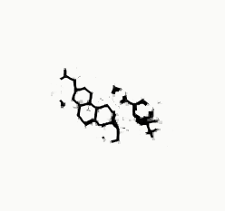 CC(C)[C@@H](C)[C@@]1(C)CC[C@]2(C)[C@H]3CC[C@@H]4[C@@]5(COC[C@@]4(C)[C@@H](OC[C@](C)(N)C(C)(C)C)[C@H](n4ncnc4-c4ccc[n+]([O-])c4)C5)C3=CC[C@@]2(C)[C@@H]1C(=O)O